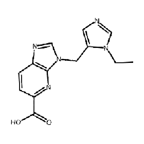 CCn1cncc1Cn1cnc2ccc(C(=O)O)nc21